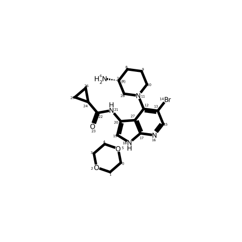 C1COCCO1.N[C@@H]1CCCN(c2c(Br)cnc3[nH]cc(NC(=O)C4CC4)c23)C1